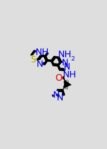 Cc1c(-c2cc(N)c3nnc(NC(=O)[C@H]4C[C@@H]4c4cnn(C)c4)cc3c2)cnc2c1NCCS2